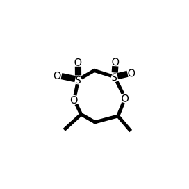 CC1CC(C)OS(=O)(=O)CS(=O)(=O)O1